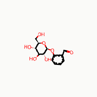 O=Cc1ccccc1O[C@@H]1O[C@H](CO)[C@@H](O)C(O)[C@H]1O